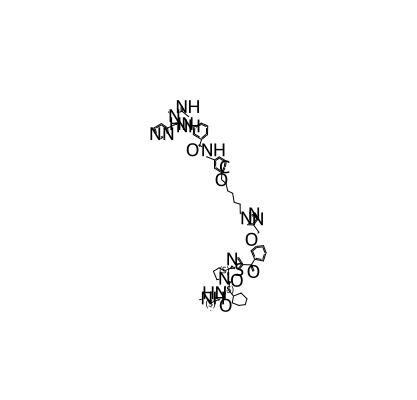 CN[C@@H](C)C(=O)N[C@H](C(=O)N1CCC[C@H]1c1ncc(C(=O)c2cccc(OCc3cn(CCCCCCOc4cccc(CNC(=O)c5cccc(NCC(=N)N(C)C(=N)c6ccncn6)c5)c4)nn3)c2)s1)C1CCCCC1